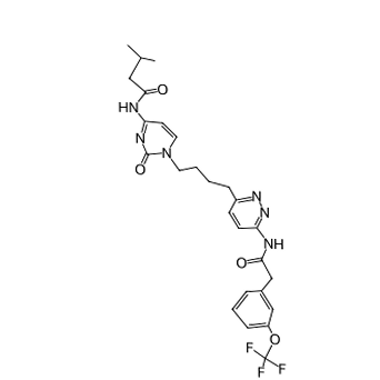 CC(C)CC(=O)Nc1ccn(CCCCc2ccc(NC(=O)Cc3cccc(OC(F)(F)F)c3)nn2)c(=O)n1